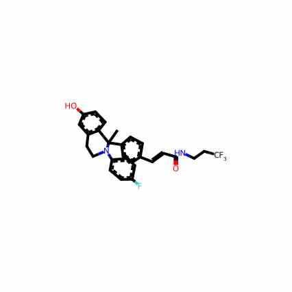 CC1(c2ccc(/C=C/C(=O)NCCC(F)(F)F)cc2)c2ccc(O)cc2CCN1c1ccc(F)cc1